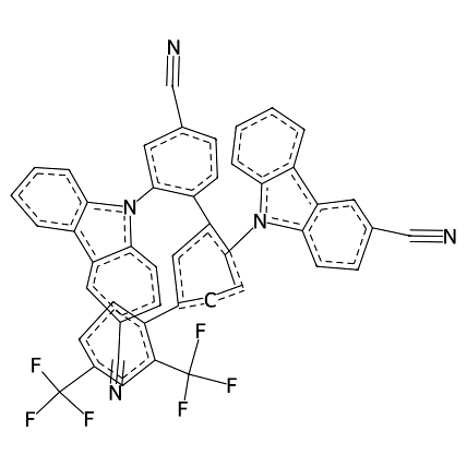 N#Cc1ccc(-c2cc(-c3ccc(C(F)(F)F)cc3C(F)(F)F)ccc2-n2c3ccccc3c3cc(C#N)ccc32)c(-n2c3ccccc3c3cc(C#N)ccc32)c1